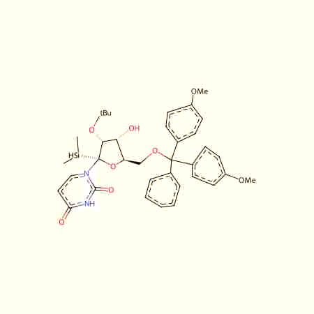 COc1ccc(C(OC[C@H]2O[C@](n3ccc(=O)[nH]c3=O)([SiH](C)C)[C@H](OC(C)(C)C)[C@@H]2O)(c2ccccc2)c2ccc(OC)cc2)cc1